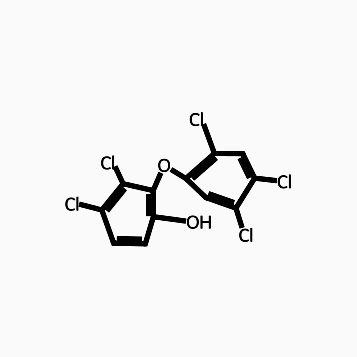 Oc1ccc(Cl)c(Cl)c1Oc1cc(Cl)c(Cl)cc1Cl